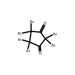 CC(=O)C1(C(C)=O)C(=O)C(C(C)=O)(C(C)=O)C(C(C)=O)(C(C)=O)C1=O